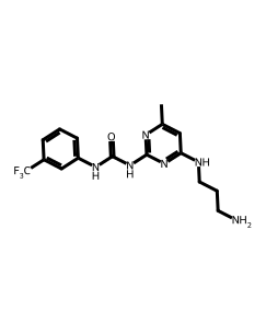 Cc1cc(NCCCN)nc(NC(=O)Nc2cccc(C(F)(F)F)c2)n1